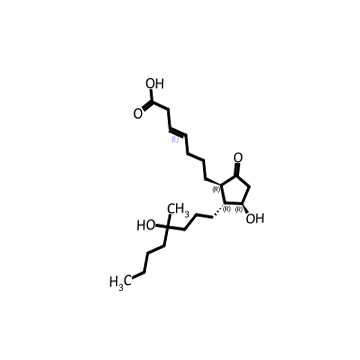 CCCCC(C)(O)CCC[C@H]1[C@H](O)CC(=O)[C@@H]1CCC/C=C/CC(=O)O